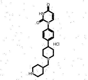 Cl.O=c1ccn(-c2ccc(C3CCN(CC4CCNCC4)CC3)cc2)c(=O)[nH]1